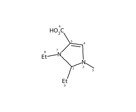 CCC1N(C)C=C(C(=O)O)N1CC